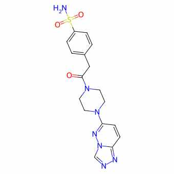 NS(=O)(=O)c1ccc(CC(=O)N2CCN(c3ccc4nncn4n3)CC2)cc1